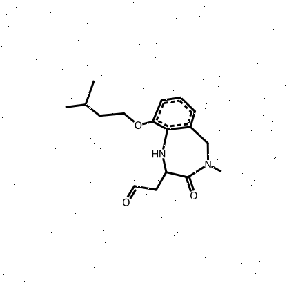 CC(C)CCOc1cccc2c1NC(CC=O)C(=O)N(C)C2